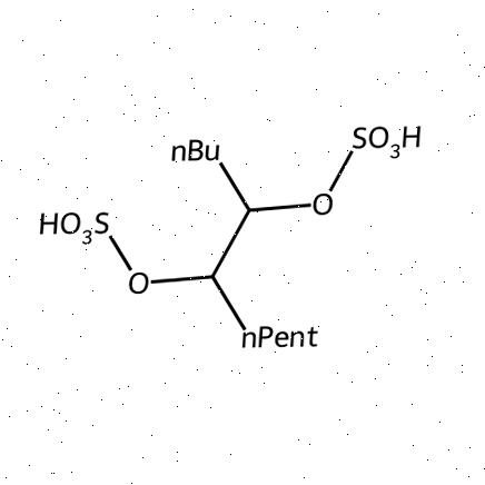 CCCCCC(OS(=O)(=O)O)C(CCCC)OS(=O)(=O)O